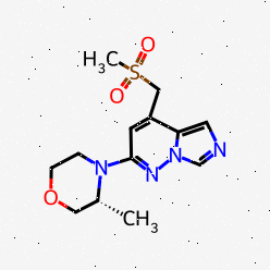 C[C@@H]1COCCN1c1cc(CS(C)(=O)=O)c2cncn2n1